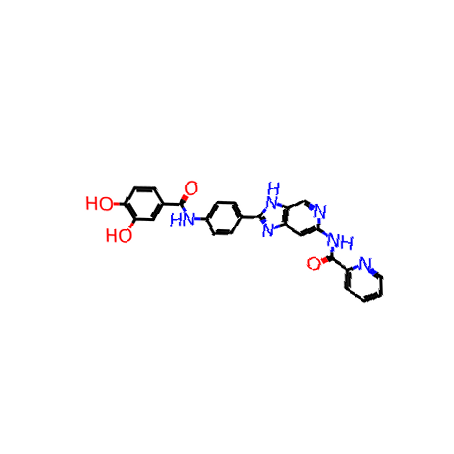 O=C(Nc1ccc(-c2nc3cc(NC(=O)c4ccccn4)ncc3[nH]2)cc1)c1ccc(O)c(O)c1